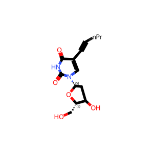 CCCC#Cc1cn([C@@H]2CC(O)[C@H](CO)O2)c(=O)[nH]c1=O